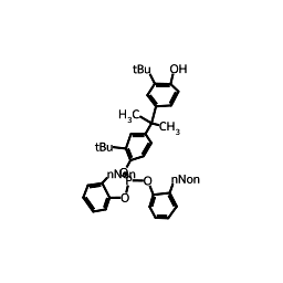 CCCCCCCCCc1ccccc1OP(Oc1ccccc1CCCCCCCCC)Oc1ccc(C(C)(C)c2ccc(O)c(C(C)(C)C)c2)cc1C(C)(C)C